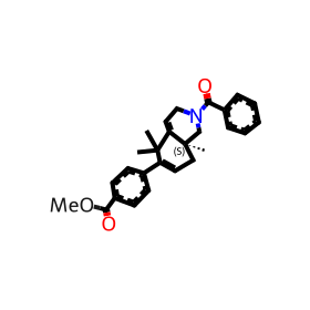 COC(=O)c1ccc(C2=CC[C@]3(C)CN(C(=O)c4ccccc4)CC=C3C2(C)C)cc1